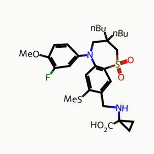 CCCCC1(CCCC)CN(c2ccc(OC)c(F)c2)c2cc(SC)c(CNC3(C(=O)O)CC3)cc2S(=O)(=O)C1